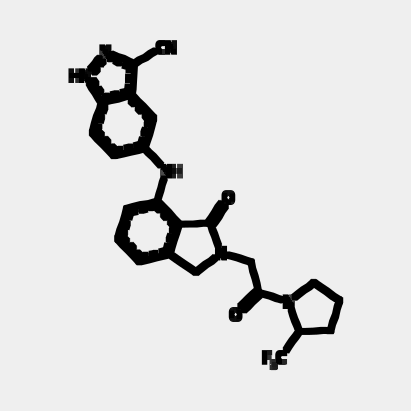 N#Cc1n[nH]c2ccc(Nc3cccc4c3C(=O)N(CC(=O)N3CCCC3C(F)(F)F)C4)cc12